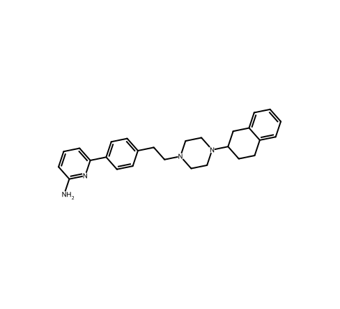 Nc1cccc(-c2ccc(CCN3CCN(C4CCc5ccccc5C4)CC3)cc2)n1